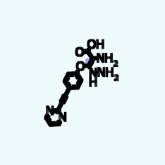 NN/C(Oc1ccc(C#Cc2ncccn2)cc1)=C(\N)C(=O)O